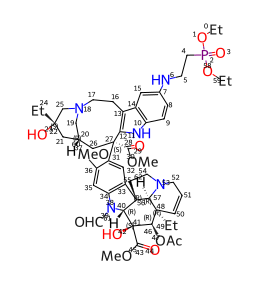 CCOP(=O)(CCNc1ccc2[nH]c3c(c2c1)CCN1C[C@@H](C[C@@](O)(CC)C1)C[C@]3(C(=O)OC)c1cc2c(cc1OC)N(C=O)[C@H]1[C@@](O)(C(=O)OC)[C@H](OC(C)=O)[C@]3(CC)C=CCN4CC[C@]21[C@@H]43)OCC